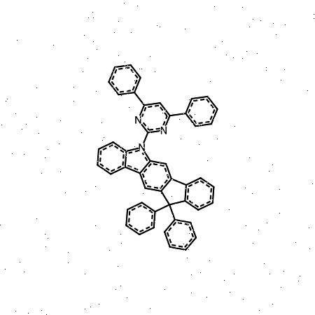 c1ccc(-c2cc(-c3ccccc3)nc(-n3c4ccccc4c4cc5c(cc43)-c3ccccc3C5(c3ccccc3)c3ccccc3)n2)cc1